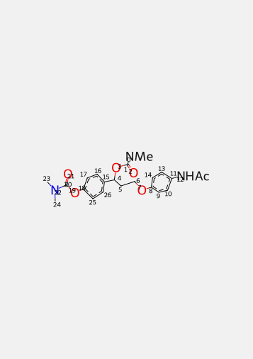 CNC(=O)OC(CCOc1ccc(NC(C)=O)cc1)c1ccc(OC(=O)N(C)C)cc1